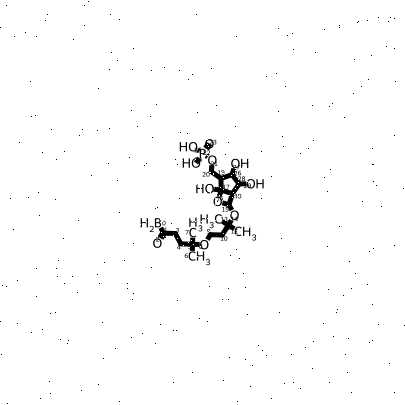 BC(=O)CCC(C)(C)OCCC(C)(C)OC1OC2(O)C(COP(=O)(O)O)C(O)C(O)C12